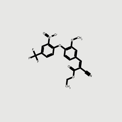 CCOC(=O)C(C#N)=Cc1ccc(Oc2ccc(C(F)(F)F)cc2[N+](=O)[O-])c(OC)c1